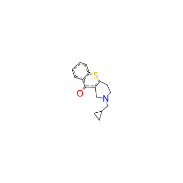 O=c1c2c(sc3ccccc13)CCN(CC1CC1)C2